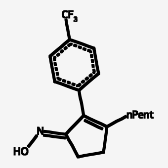 CCCCCC1=C(c2ccc(C(F)(F)F)cc2)/C(=N/O)CC1